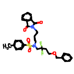 Cc1ccc(S(=O)(=O)N(CCCN2C(=O)c3ccccc3C2=O)CC(F)(F)CCOCc2ccccc2)cc1